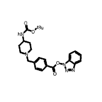 CC(C)(C)OC(=O)NC1CCN(Cc2ccc(C(=O)On3nnc4ccccc43)cc2)CC1